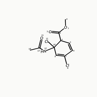 COC(=O)C1C=CC(Cl)=CC1(Cl)NC(C)=O